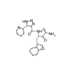 NC(=O)C(=O)C(Cc1coc2ccccc12)NC(=O)c1nn[nH]c1-c1ccccn1